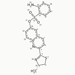 C[C@H]1CSC(c2ccc3cc(OS(=O)(=O)c4ccccc4N)ccc3n2)=N1